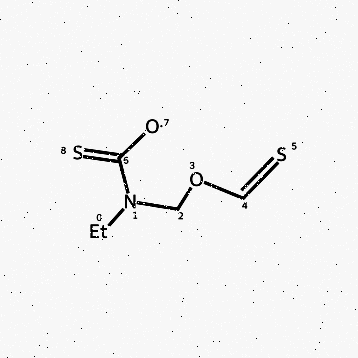 CCN(COC=S)C([O])=S